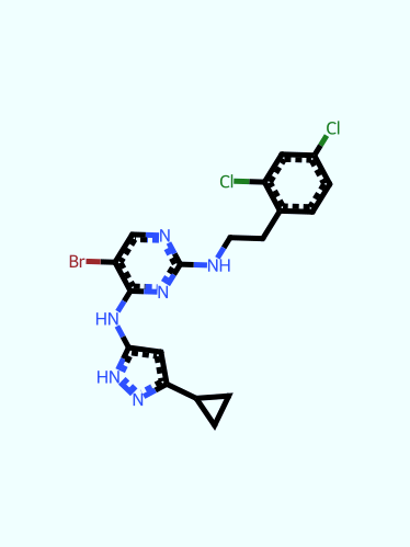 Clc1ccc(CCNc2ncc(Br)c(Nc3cc(C4CC4)n[nH]3)n2)c(Cl)c1